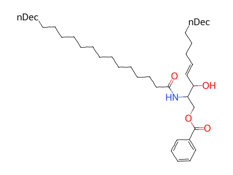 CCCCCCCCCCCCCC=CC(O)C(COC(=O)c1ccccc1)NC(=O)CCCCCCCCCCCCCCCCCCCCCCC